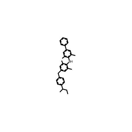 CCC(C)c1ccc(Cc2cc(C)c(Bc3c(C)cc(-c4ccccc4)cc3C)c(C)c2)cc1